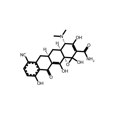 CN(C)[C@@H]1C(O)=C(C(N)=O)C2(O)O[C@@]23C(O)=C2C(=O)c4c(O)ccc(C#N)c4C[C@H]2C[C@@H]13